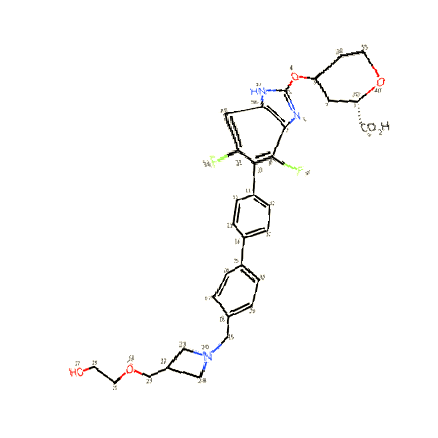 O=C(O)[C@@H]1CC(Oc2nc3c(F)c(-c4ccc(-c5ccc(CN6CC(COCCO)C6)cc5)cc4)c(F)cc3[nH]2)CCO1